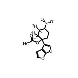 [2H][C@H]1C([N+](=O)[O-])CCC(OC(=O)O)(c2coc3occc23)C1([2H])[2H]